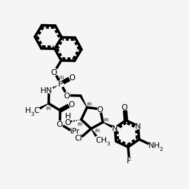 CC(C)OC(=O)[C@@H](C)N[P@](=O)(OC[C@H]1O[C@@H](n2cc(F)c(N)nc2=O)[C@](C)(Cl)[C@@H]1O)Oc1cccc2ccccc12